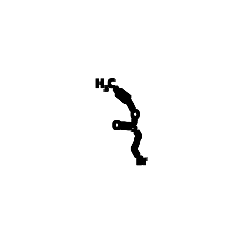 CC#COS(=O)CCBr